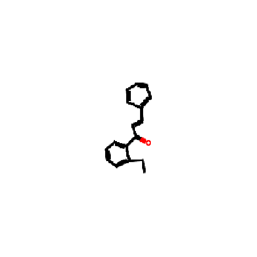 CCc1ccccc1C(=O)/C=C/c1ccccc1